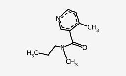 CCCN(C)C(=O)c1cnccc1C